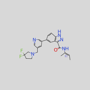 C/C=C(\C)NC(=O)c1n[nH]c2ccc(-c3cncc(CN4CCC(F)(F)C4)c3)cc12